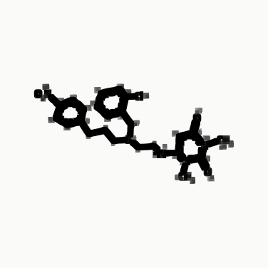 Cn1c(NCCN(CCCc2ccc([N+](=O)[O-])cc2)Cc2ccccc2Cl)cc(=O)n(C)c1=O